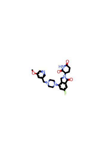 COc1cncc(CN2CCN(c3cc(F)cc4c3CN(C3CCC(=O)NC3=O)C4=O)CC2)c1